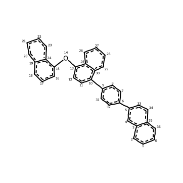 c1ccc2cc(-c3ccc(-c4ccc(Oc5cccc6ccccc56)c5ccccc45)cc3)ccc2c1